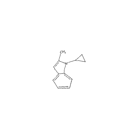 Cc1cc2ccccc2n1C1CC1